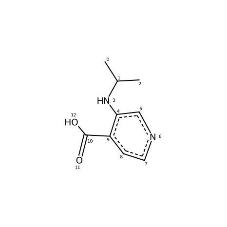 CC(C)Nc1cnccc1C(=O)O